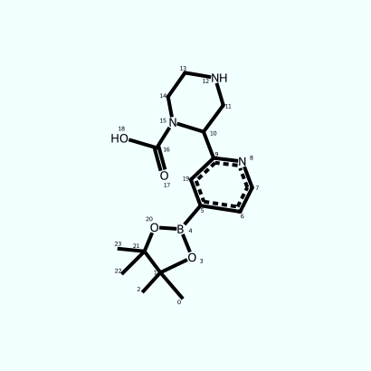 CC1(C)OB(c2ccnc(C3CNCCN3C(=O)O)c2)OC1(C)C